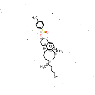 Cc1ccc([S@@](=O)O[C@H]2CC[C@@]3(C)C(=CC[C@H]4[C@@H](C)CC[C@H]([C@H](C)CCCC(C)C)CCC[C@@H]43)C2)cc1